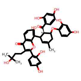 CC1=CC(c2c(O)ccc3c(=O)c(CCC(C)(C)O)c(-c4ccc(O)cc4O)oc23)[C@@H](C(=O)c2ccc(O)cc2O)C(Oc2ccc(O)cc2O)C1